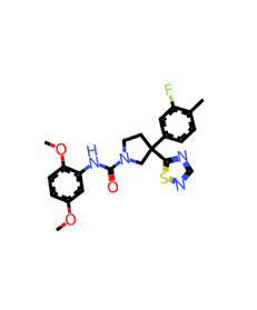 COc1ccc(OC)c(NC(=O)N2CCC(c3ccc(C)c(F)c3)(c3ncns3)C2)c1